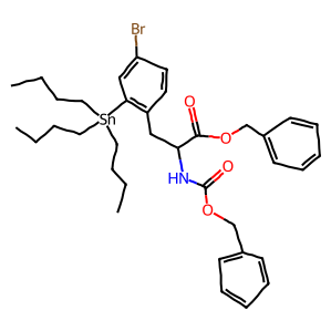 CCC[CH2][Sn]([CH2]CCC)([CH2]CCC)[c]1cc(Br)ccc1CC(NC(=O)OCc1ccccc1)C(=O)OCc1ccccc1